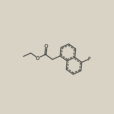 CCOC(=O)Cc1cccc2c(F)cccc12